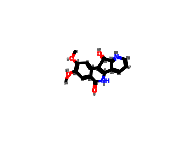 COc1cc2c3c([nH]c(=O)c2cc1OC)-c1cccnc1C3=O